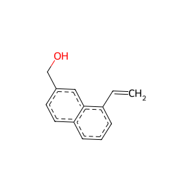 C=Cc1cccc2ccc(CO)cc12